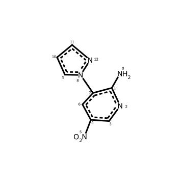 Nc1ncc([N+](=O)[O-])cc1-n1cccn1